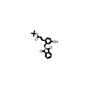 CC(C)(C)OC(=O)/C=C/c1ccc(O)cc1CN1C(=O)c2ccccc2C1=O